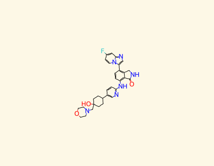 O=C1NCc2c(-c3cnc4cc(F)ccn34)ccc(Nc3ccc(C4CCC(O)(CN5CCOCC5)CC4)cn3)c21